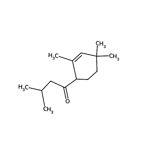 CC1=CC(C)(C)CCC1C(=O)CC(C)C